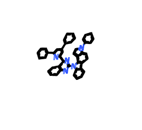 c1ccc(-c2cc(-c3ccccc3)nc(-c3nc(-n4c5ccccc5c5ccc6c(ccn6-c6ccccc6)c54)nc4ccccc34)c2)cc1